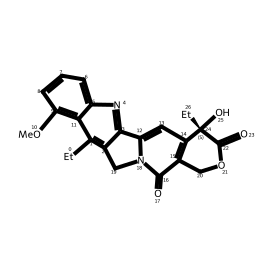 CCc1c2c(nc3cccc(OC)c13)-c1cc3c(c(=O)n1C2)COC(=O)[C@]3(O)CC